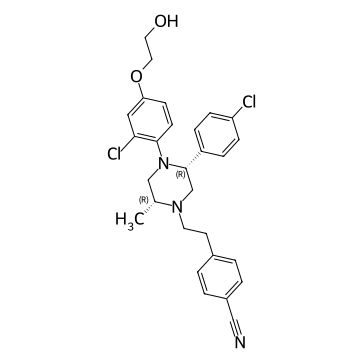 C[C@@H]1CN(c2ccc(OCCO)cc2Cl)[C@H](c2ccc(Cl)cc2)CN1CCc1ccc(C#N)cc1